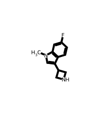 Cn1cc(C2CNC2)c2ccc(F)cc21